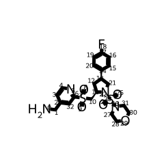 NCc1ccnc(S(=O)(=O)C[C@H]2C[C@@H](c3ccc(F)cc3)CN2S(=O)(=O)N2CCOCC2)c1